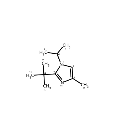 Cc1cn(C(C)C)c(C(C)(C)C)n1